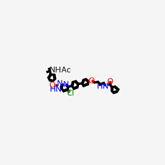 CC(=O)NC(C)(C)c1ccc(Oc2nc3nc(-c4ccc(-c5ccc(OCCCCNC(=O)c6ccccc6)cc5)cc4)c(Cl)cc3[nH]2)cc1